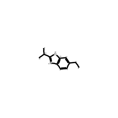 CCc1ccc2nc(C(C)C)oc2c1